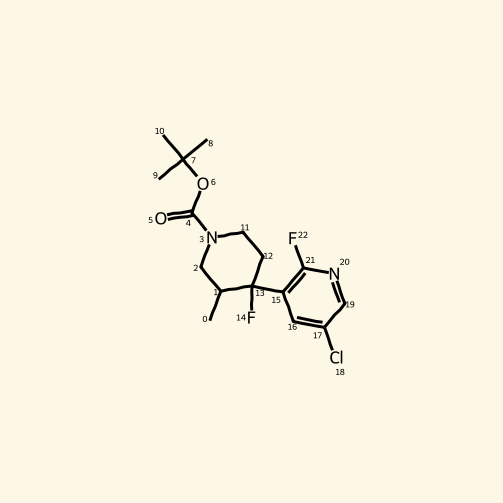 CC1CN(C(=O)OC(C)(C)C)CCC1(F)c1cc(Cl)cnc1F